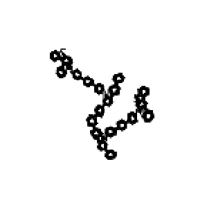 c1ccc(-c2ccc3c4ccc(-c5ccc(-c6cccc(-c7ccc8c9ccc(-c%10ccccc%10)cc9n(-c9ccc(-c%10ccc(-c%11ccc(-n%12c%13ccccc%13c%13cc%14c(cc%13%12)sc%12ccccc%12%14)cc%11)cc%10)cc9)c8c7)c6)cc5)cc4n(-c4ccc(-c5ccc(-c6ccc(-n7c8ccccc8c8c9c(ccc87)sc7ccccc79)cc6)cc5)cc4)c3c2)cc1